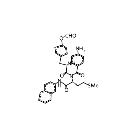 CSCC[C@@H](C(=O)Nc1ccc2ccccc2c1)N(C(=O)c1ccc(N)cc1)C(=O)[C@@H](N)Cc1ccc(OC=O)cc1